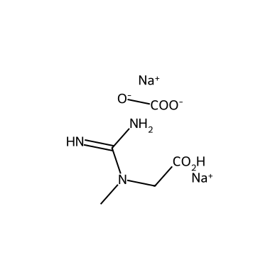 CN(CC(=O)O)C(=N)N.O=C([O-])[O-].[Na+].[Na+]